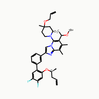 C=CCOC1(C)CCN(c2c(C(OC(C)(C)C)C(=O)O)c(C)c(C)c3nc(-c4cccc(-c5cc(F)c(F)cc5O[C@@H](C)CC=C)c4)cn23)CC1